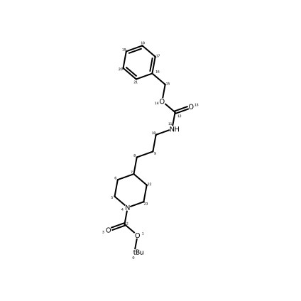 CC(C)(C)OC(=O)N1CCC(CCCNC(=O)OCc2ccccc2)CC1